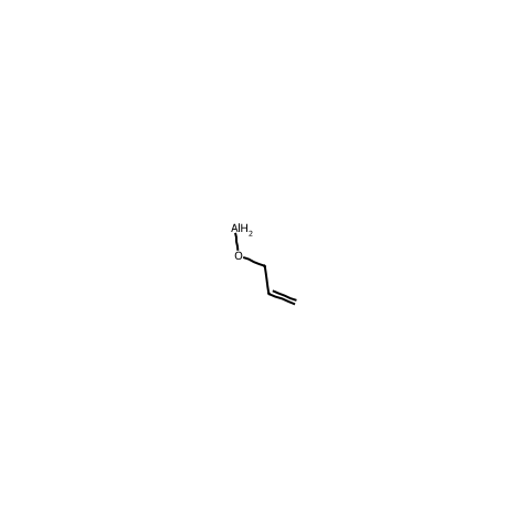 C=CC[O][AlH2]